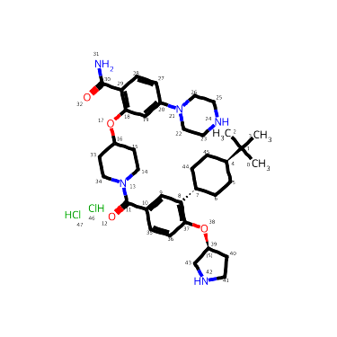 CC(C)(C)[C@H]1CC[C@H](c2cc(C(=O)N3CCC(Oc4cc(N5CCNCC5)ccc4C(N)=O)CC3)ccc2O[C@H]2CCNC2)CC1.Cl.Cl